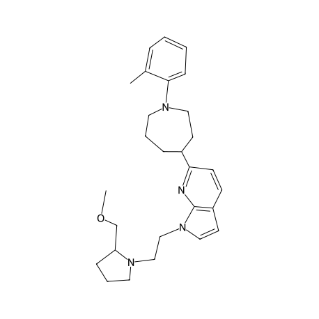 COCC1CCCN1CCn1ccc2ccc(C3CCCN(c4ccccc4C)CC3)nc21